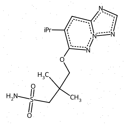 CC(C)c1cc2ncnn2nc1OCC(C)(C)CS(N)(=O)=O